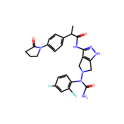 CC(C(=O)Nc1n[nH]c2c1CN(N(C(N)=O)c1ccc(F)cc1F)C2)c1ccc(N2CCCC2=O)cc1